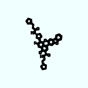 O=C(CCN1CCCC1)N[C@@H]1CCN(c2c(F)cc3c(=O)c(C(=O)NCCN4CCCC4)cn4c3c2Oc2cc3c(cc2-4)oc2ccccc23)C1